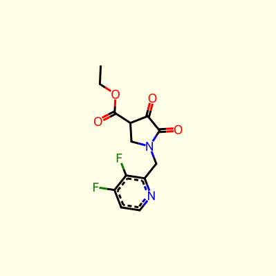 CCOC(=O)C1CN(Cc2nccc(F)c2F)C(=O)C1=O